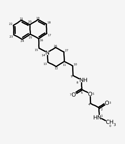 CNC(=O)COC(=O)NCCC1CCN(Cc2cccc3ccccc23)CC1